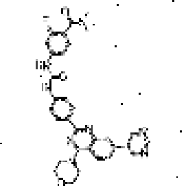 CN(C)C(=O)c1ccc(NC(=O)Nc2ccc(-c3nc(N4CCOCC4)c4ccc(-c5cncnc5)cc4n3)cc2)cc1F